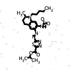 CCCCCN1c2cc(N[SH](=O)=O)c(N=Nc3nnc(C(=O)OC(C)C)s3)cc2CCC1C